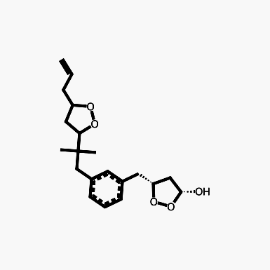 C=CCC1CC(C(C)(C)Cc2cccc(C[C@@H]3C[C@H](O)OO3)c2)OO1